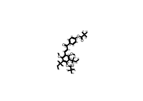 CCC(C)(C)c1c(OC)c(C=CC(=O)c2ccc(OC(=O)C(C)(C)C)cc2)c(OC)c(C(C)(C)CC)c1OC(=O)C(C)(C)C